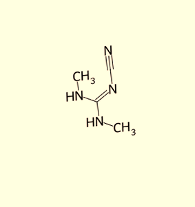 CNC(=NC#N)NC